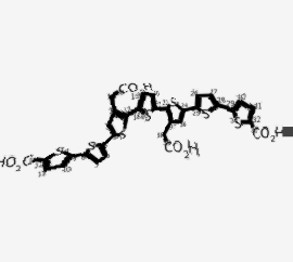 O=C(O)Cc1cc(-c2ccc(-c3ccc(C(=O)O)s3)s2)sc1-c1ccc(-c2sc(-c3ccc(-c4ccc(C(=O)O)s4)s3)cc2CC(=O)O)s1